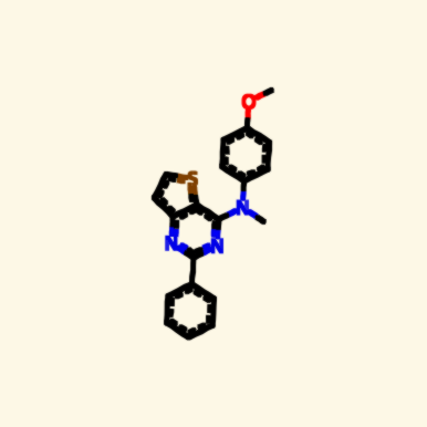 COc1ccc(N(C)c2nc(-c3ccccc3)nc3ccsc23)cc1